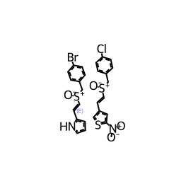 O=[N+]([O-])c1cc(C=C[S+]([O-])Cc2ccc(Cl)cc2)cs1.[O-][S+](/C=C/c1ccc[nH]1)Cc1ccc(Br)cc1